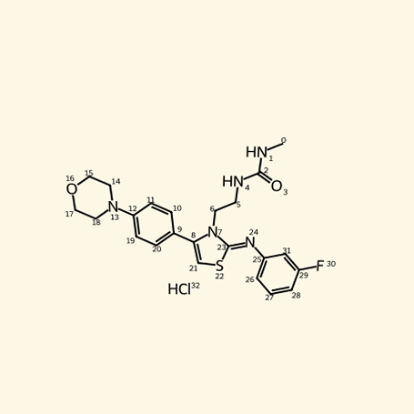 CNC(=O)NCCn1c(-c2ccc(N3CCOCC3)cc2)cs/c1=N\c1cccc(F)c1.Cl